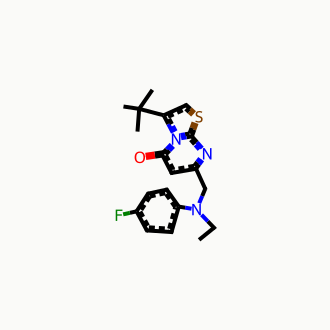 CCN(Cc1cc(=O)n2c(C(C)(C)C)csc2n1)c1ccc(F)cc1